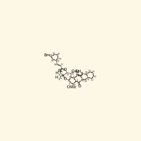 COc1cc2c(c3c1c(=O)c1cc4ccccc4cc1n3C)C(OC(C)=O)C(OC(=O)/C=C/c1cccc(Br)c1)C(C)(C)O2